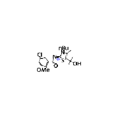 CCCCn1c(C)c(C(C)(C)O)s/c1=N\C(=O)c1cc(Cl)ccc1OC